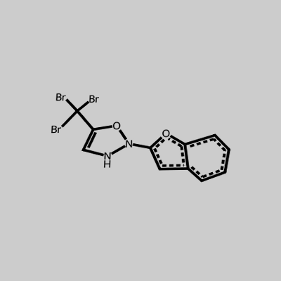 BrC(Br)(Br)C1=CNN(c2cc3ccccc3o2)O1